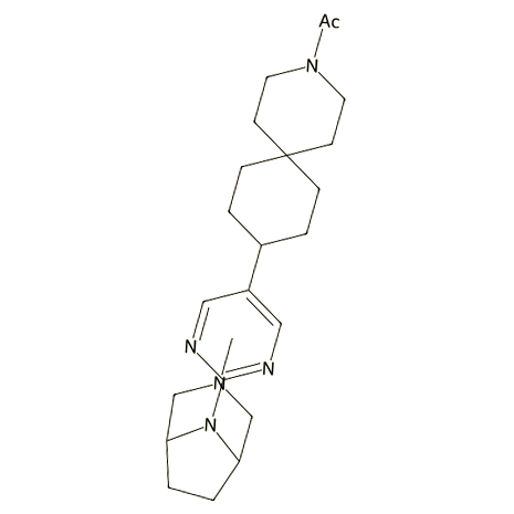 CC(=O)N1CCC2(CCC(c3cnc(N4C5CCC4CN(C)C5)nc3)CC2)CC1